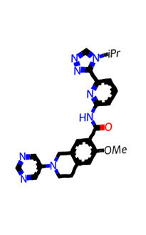 COc1cc2c(cc1C(=O)Nc1cccc(-c3nncn3C(C)C)n1)CN(c1cncnc1)CC2